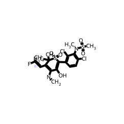 C=NC1=C(/C=C(\C)F)C(C)(C)S(=O)(=O)C(c2ccc(Cl)c(N(C)S(C)(=O)=O)c2Cl)=C1O